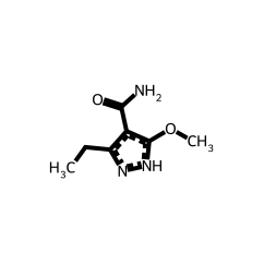 CCc1n[nH]c(OC)c1C(N)=O